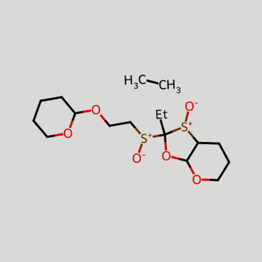 CC.CCC1([S+]([O-])CCOC2CCCCO2)OC2OCCCC2[S+]1[O-]